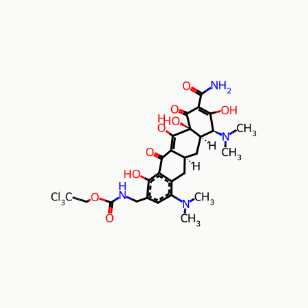 CN(C)c1cc(CNC(=O)OCC(Cl)(Cl)Cl)c(O)c2c1C[C@@H]1C[C@@H]3[C@H](N(C)C)C(O)=C(C(N)=O)C(=O)[C@@]3(O)C(O)=C1C2=O